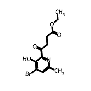 CCOC(=O)CCC(=O)c1nc(C)cc(Br)c1O